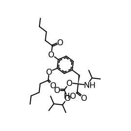 CCCCC(=O)Oc1ccc(C[C@](NC(C)C)(OC(=O)OC(C)C(C)C)C(=O)O)cc1OC(=O)CCCC